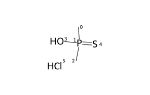 CP(C)(O)=S.Cl